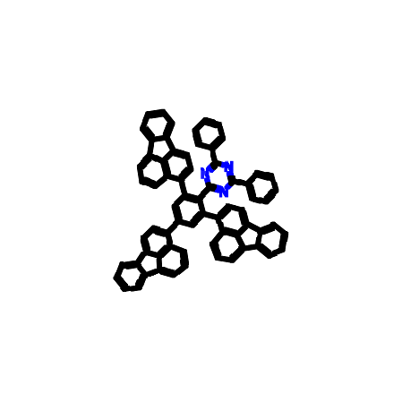 c1ccc(-c2nc(-c3ccccc3)nc(-c3c(-c4ccc5c6c(cccc46)-c4ccccc4-5)cc(-c4ccc5c6c(cccc46)-c4ccccc4-5)cc3-c3ccc4c5c(cccc35)-c3ccccc3-4)n2)cc1